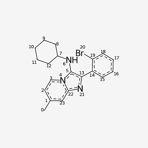 Cc1ccn2c(NC3CCCCC3)c(-c3ccccc3Br)nc2c1